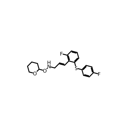 Fc1ccc(Sc2cccc(F)c2C=CCNOC2CCCCO2)cc1